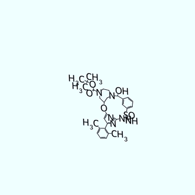 Cc1cccc(C)c1-c1cc2nc(n1)NS(=N)(=O)c1cccc(c1)C(O)N1CCN(C(=O)OC(C)(C)C)CC(C1)O2